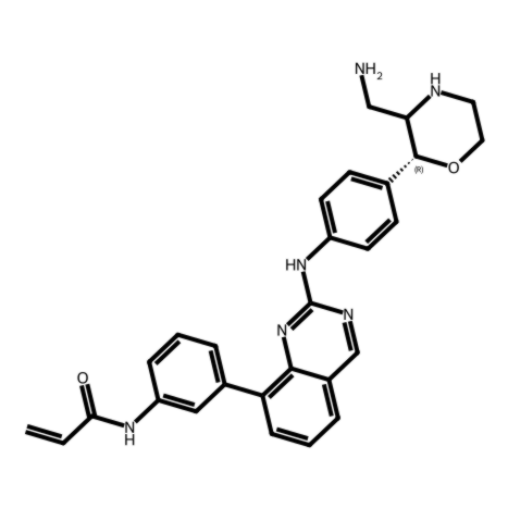 C=CC(=O)Nc1cccc(-c2cccc3cnc(Nc4ccc([C@H]5OCCNC5CN)cc4)nc23)c1